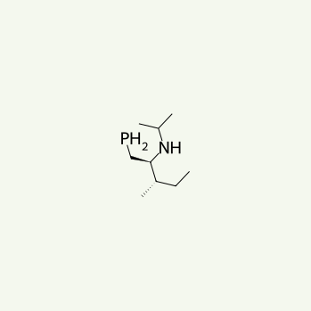 CC[C@H](C)[C@@H](CP)NC(C)C